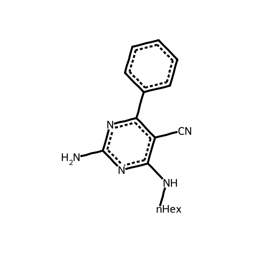 CCCCCCNc1nc(N)nc(-c2ccccc2)c1C#N